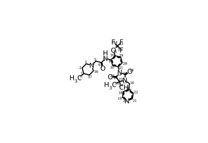 CC1CCN(CC(=O)Nc2cc(N3C(=O)N(Cc4ccncc4)C(C)(C)C3=O)ccc2OC(F)(F)F)CC1